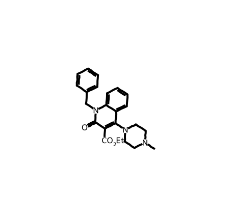 CCOC(=O)c1c(N2CCN(C)CC2)c2ccccc2n(Cc2ccccc2)c1=O